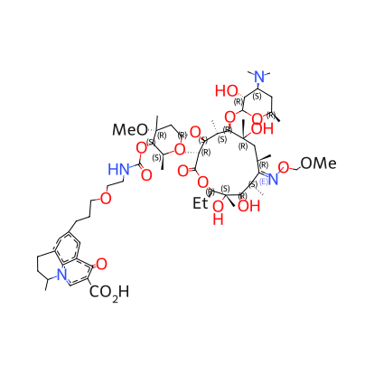 CC[C@H]1OC(=O)[C@H](C)[C@@H](O[C@H]2C[C@@](C)(OC)[C@@H](OC(=O)NCCOCCCc3cc4c5c(c3)c(=O)c(C(=O)O)cn5C(C)CC4)[C@H](C)O2)[C@H](C)[C@@H](OC2O[C@H](C)C[C@H](N(C)C)[C@H]2O)[C@](C)(O)C[C@@H](C)/C(=N\OCOC)[C@H](C)[C@@H](O)[C@]1(C)O